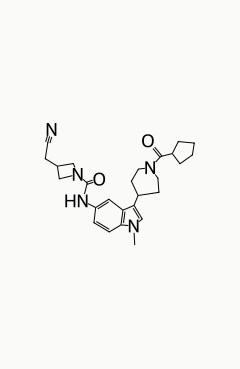 Cn1cc(C2CCN(C(=O)C3CCCC3)CC2)c2cc(NC(=O)N3CC(CC#N)C3)ccc21